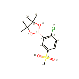 CC1(C)OB(c2cc(S(C)(=O)=O)ccc2Cl)OC1(C)C